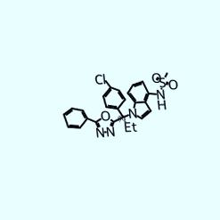 CC[C@@](c1ccc(Cl)cc1)(c1nnc(-c2ccccc2)o1)n1ccc2c(NS(C)(=O)=O)cccc21